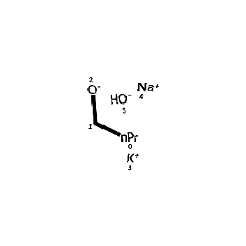 CCCC[O-].[K+].[Na+].[OH-]